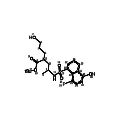 CC(CN(CCCO)C(=O)OC(C)(C)C)NS(=O)(=O)c1cccc2c(O)ncc(F)c12